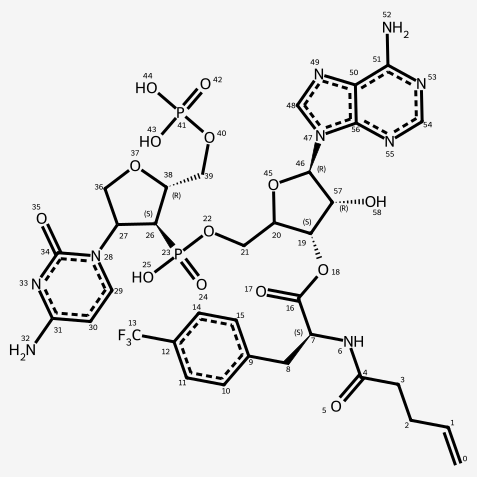 C=CCCC(=O)N[C@@H](Cc1ccc(C(F)(F)F)cc1)C(=O)O[C@@H]1C(COP(=O)(O)[C@H]2C(n3ccc(N)nc3=O)CO[C@@H]2COP(=O)(O)O)O[C@@H](n2cnc3c(N)ncnc32)[C@@H]1O